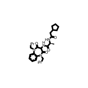 CC(C)CN1C(=O)C(NC(=O)[C@H](C)NC(=O)CC2CCCC2)C(=O)N(CC(C)C)c2ccccc21